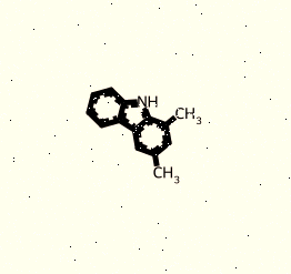 Cc1cc(C)c2[nH]c3ccccc3c2c1